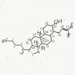 CC(C)CCC[C@H](C)[C@H]1CC[C@H]2[C@@H]3CCC4C(CC=C(F)F)C(O)CC[C@]4(C)[C@H]3CC[C@]12C